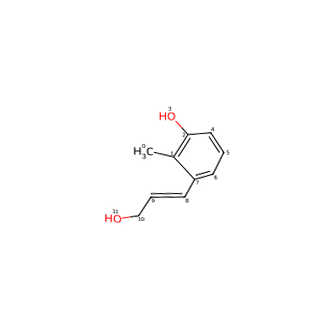 Cc1c(O)cccc1C=CCO